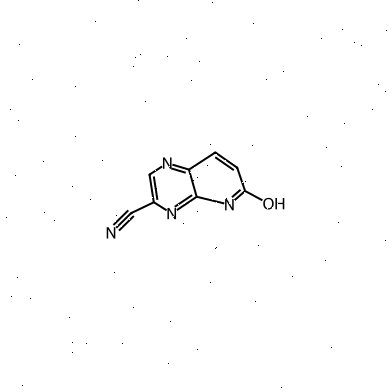 N#Cc1cnc2ccc(O)nc2n1